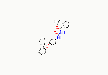 Cc1ccccc1C(=O)NC(=O)Nc1ccc(OC2(c3ccccc3)CCCCC2)cc1